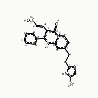 CC(C)c1csc(CCc2ccn3c(=O)c(/C=C/C(=O)O)c(-c4ccccc4)nc3c2)n1